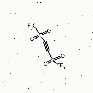 O=S(=O)(C#CS(=O)(=O)C(F)(F)F)C(F)(F)F